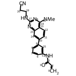 C=CC(=O)Nc1cccc(-c2ccc3c(NC)nc(NCCC#N)nc3c2)c1